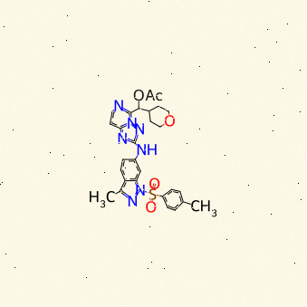 CC(=O)OC(c1nccc2nc(Nc3ccc4c(C)nn(S(=O)(=O)c5ccc(C)cc5)c4c3)nn12)C1CCOCC1